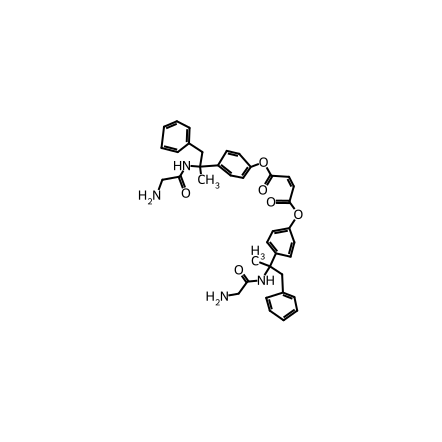 CC(Cc1ccccc1)(NC(=O)CN)c1ccc(OC(=O)/C=C\C(=O)Oc2ccc(C(C)(Cc3ccccc3)NC(=O)CN)cc2)cc1